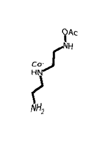 CC(=O)ONCCNCCN.[Co]